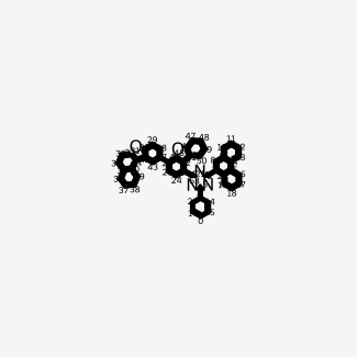 C1=CCC(c2nc(-c3cc4ccccc4c4ccccc34)nc(-c3ccc(-c4ccc5oc6ccc7ccccc7c6c5c4)c4oc5ccccc5c34)n2)C=C1